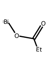 CCC(=O)[O][Bi]